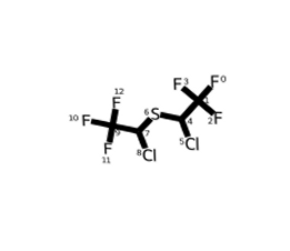 FC(F)(F)C(Cl)SC(Cl)C(F)(F)F